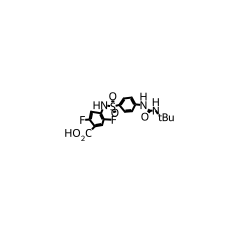 CC(C)(C)NC(=O)Nc1ccc(S(=O)(=O)Nc2cc(F)c(C(=O)O)cc2F)cc1